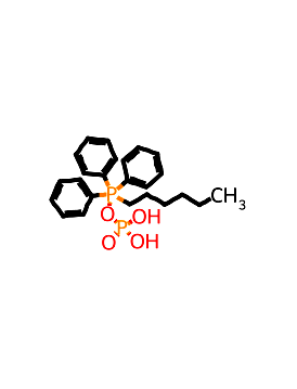 CCCCCCP(OP(=O)(O)O)(c1ccccc1)(c1ccccc1)c1ccccc1